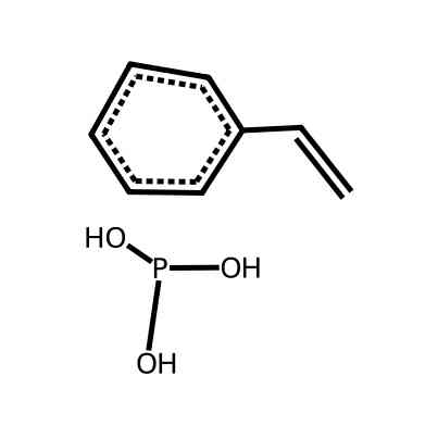 C=Cc1ccccc1.OP(O)O